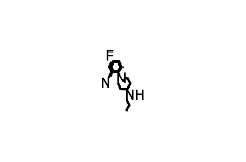 CCCNC1CCN(c2ccc(F)cc2C#N)CC1